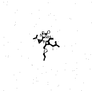 C=CC1=C([C@@H](C)C(C)C)C(COCCC)N1[C@@]1(c2noc(=O)[nH]2)C[C@@H]1C(C)C